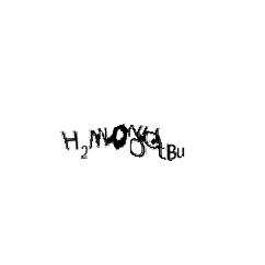 CC(C)(C)OC(=O)Nc1ccc(/C=N/N)cc1